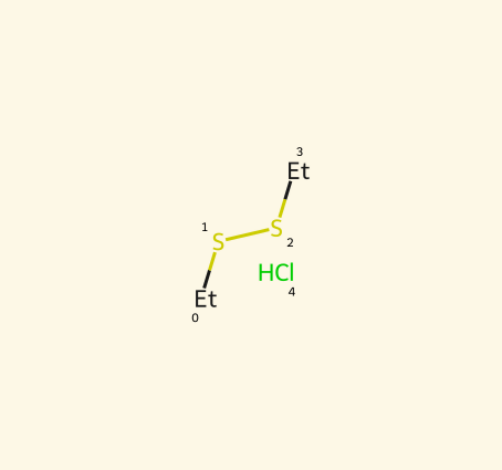 CCSSCC.Cl